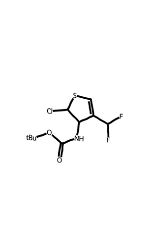 CC(C)(C)OC(=O)NC1C(C(F)F)=CSC1Cl